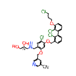 N#Cc1cncc(COc2cc(OCc3cccc(-c4cccc(OCCCCl)c4Cl)c3Cl)c(Cl)cc2CNC[C@H](O)CO)c1